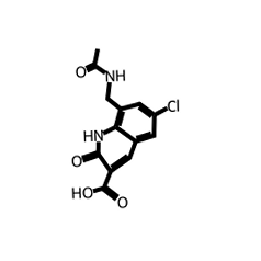 CC(=O)NCc1cc(Cl)cc2cc(C(=O)O)c(=O)[nH]c12